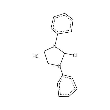 Cl.ClC1N(c2ccccc2)CCN1c1ccccc1